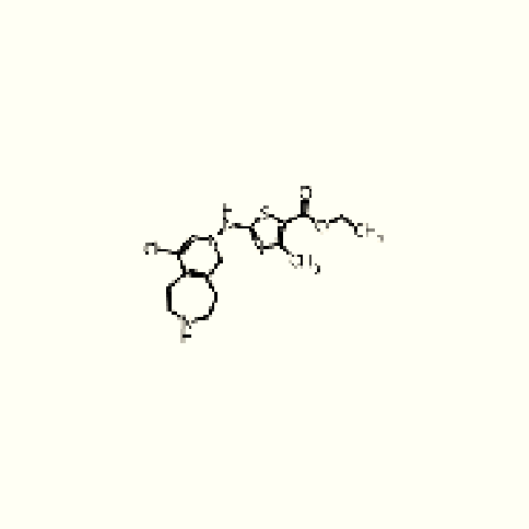 CCOC(=O)c1sc(NN2C=C(Cl)C3=C(CCNCC3)C2)nc1C